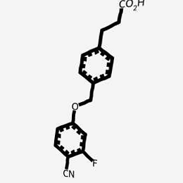 N#Cc1ccc(OCc2ccc(CCC(=O)O)cc2)cc1F